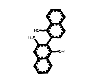 Oc1c(-c2c(P)cc3ccccc3c2O)ccc2ccccc12